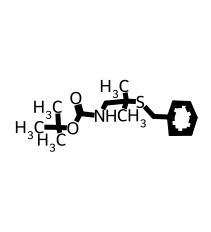 CC(C)(C)OC(=O)NCC(C)(C)SCc1ccccc1